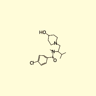 CC(C)C(CN1CCC(O)CC1)N(C)C(=O)c1ccc(Cl)cc1